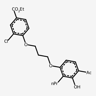 CCCc1c(OCCCOc2ccc(C(=O)OCC)cc2Cl)ccc(C(C)=O)c1O